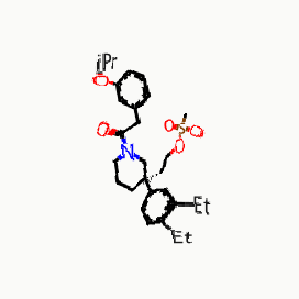 CCc1ccc([C@@]2(CCOS(C)(=O)=O)CCCN(C(=O)Cc3cccc(OC(C)C)c3)C2)cc1CC